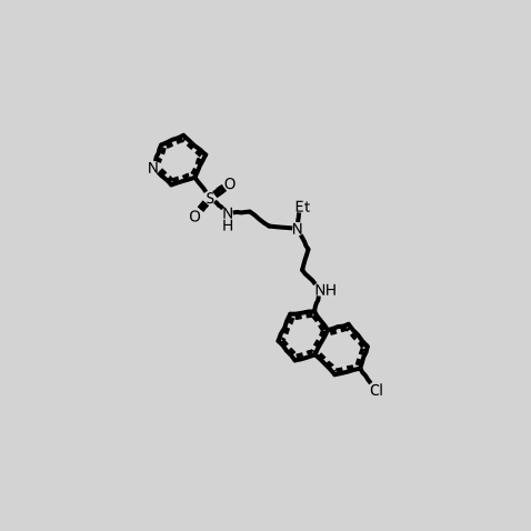 CCN(CCNc1cccc2cc(Cl)ccc12)CCNS(=O)(=O)c1cccnc1